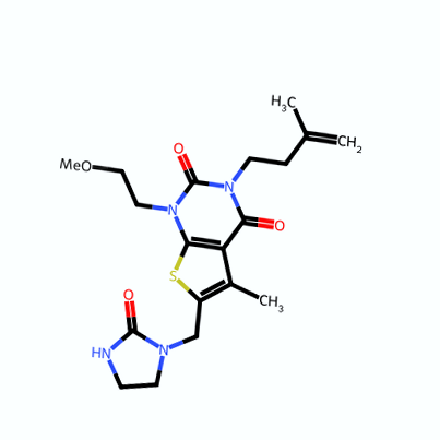 C=C(C)CCn1c(=O)c2c(C)c(CN3CCNC3=O)sc2n(CCOC)c1=O